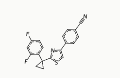 N#Cc1ccc(-c2csc(C3(c4ccc(F)cc4F)CC3)n2)cc1